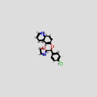 Clc1ccc(C(Oc2ccc3ncccc3c2)c2ncco2)cc1